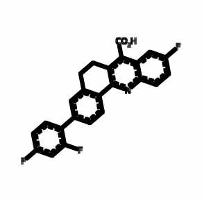 O=C(O)c1c2c(nc3ccc(F)cc13)-c1ccc(-c3ccc(F)cc3F)cc1CC2